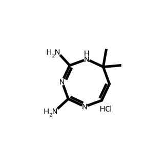 CC1(C)C=CN=C(N)N=C(N)N1.Cl